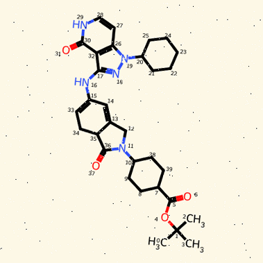 CC(C)(C)OC(=O)C1CCC(N2CC3=CC(Nc4nn(C5CCCCC5)c5cc[nH]c(=O)c45)=CCC3C2=O)CC1